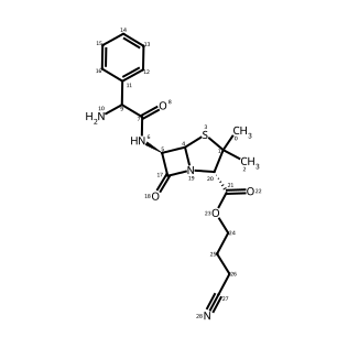 CC1(C)SC2[C@H](NC(=O)C(N)c3ccccc3)C(=O)N2[C@H]1C(=O)OCCCC#N